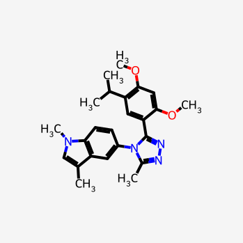 COc1cc(OC)c(C(C)C)cc1-c1nnc(C)n1-c1ccc2c(c1)c(C)cn2C